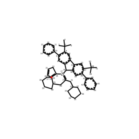 CC(C)(C)c1cc2c(cc1-c1ccccc1)[CH]([Zr]([C]1=CC=CC1)=[C](CC1CCCCC1)CC1CCCCC1)c1cc(-c3ccccc3)c(C(C)(C)C)cc1-2